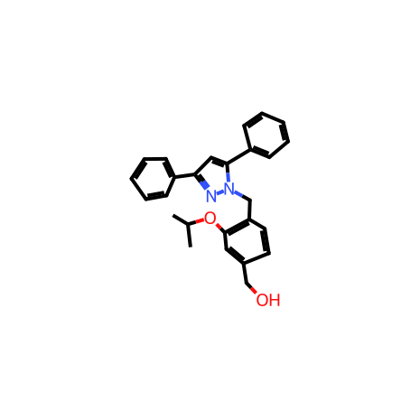 CC(C)Oc1cc(CO)ccc1Cn1nc(-c2ccccc2)cc1-c1ccccc1